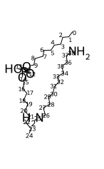 CCCCCCCCCCOP(=O)(O)OCCCCCCCCCC.NCCCCCCCCCCCCN